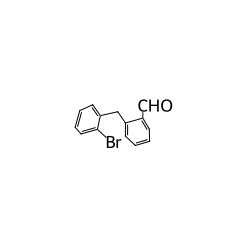 O=Cc1ccccc1Cc1ccccc1Br